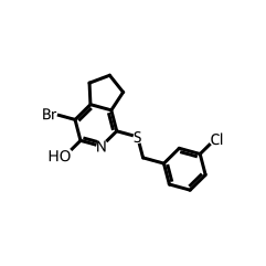 Oc1nc(SCc2cccc(Cl)c2)c2c(c1Br)CCC2